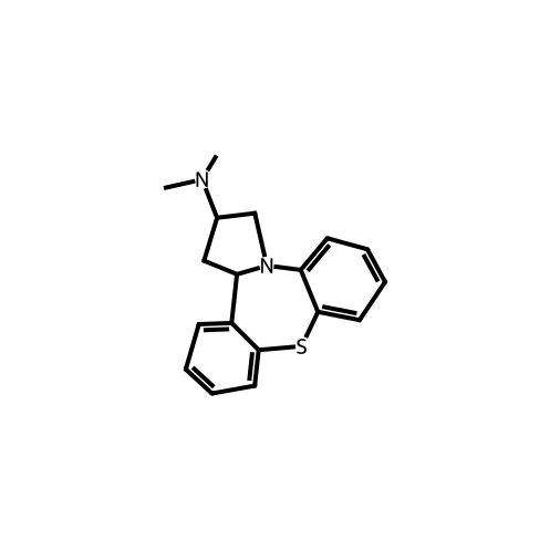 CN(C)C1CC2c3ccccc3Sc3ccccc3N2C1